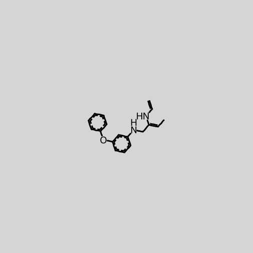 C=CN/C(=C\C)CNc1cccc(Oc2ccccc2)c1